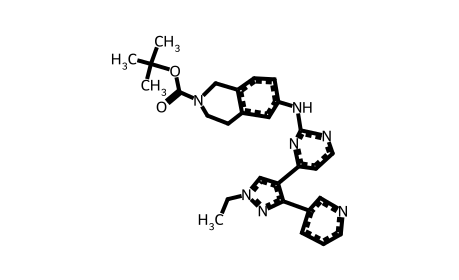 CCn1cc(-c2ccnc(Nc3ccc4c(c3)CCN(C(=O)OC(C)(C)C)C4)n2)c(-c2cccnc2)n1